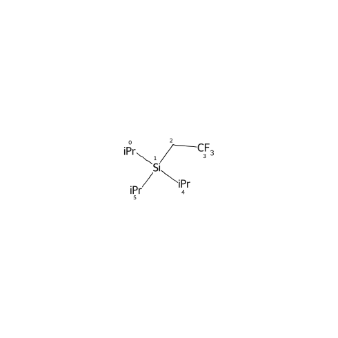 CC(C)[Si](CC(F)(F)F)(C(C)C)C(C)C